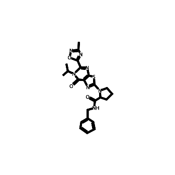 Cc1noc(-c2nc3sc(N4CCCC4C(=O)NCc4ccccc4)nc3c(=O)n2C(C)C)n1